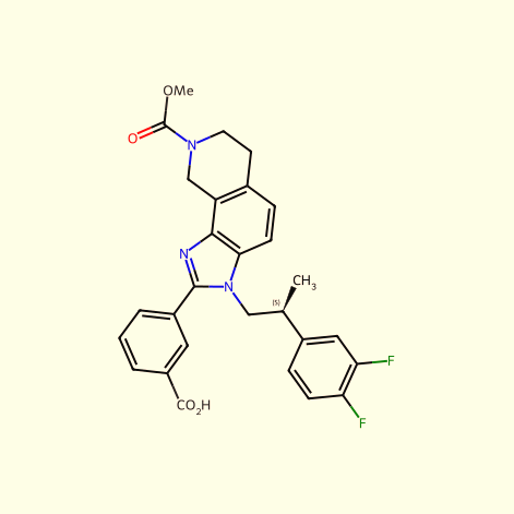 COC(=O)N1CCc2ccc3c(nc(-c4cccc(C(=O)O)c4)n3C[C@@H](C)c3ccc(F)c(F)c3)c2C1